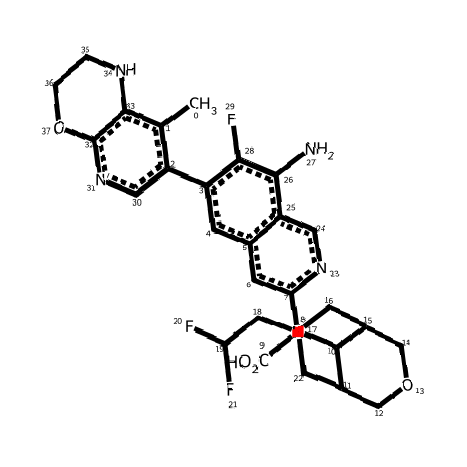 Cc1c(-c2cc3cc(N(C(=O)O)C4C5COCC4CN(CC(F)F)C5)ncc3c(N)c2F)cnc2c1NCCO2